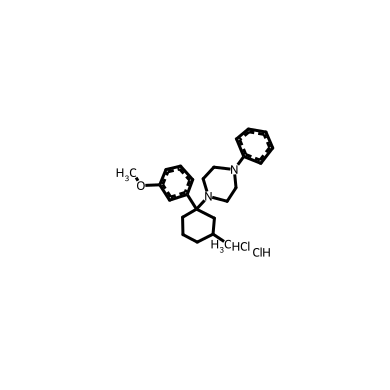 COc1cccc(C2(N3CCN(c4ccccc4)CC3)CCCC(C)C2)c1.Cl.Cl